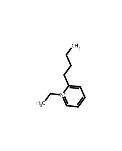 CCCCc1cccc[n+]1CC